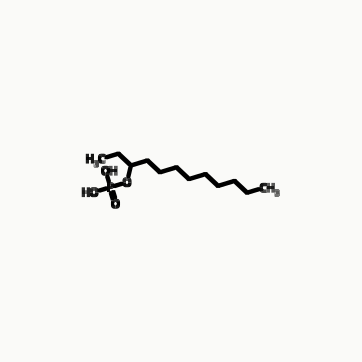 CCCCCCCCCC(CC)OP(=O)(O)O